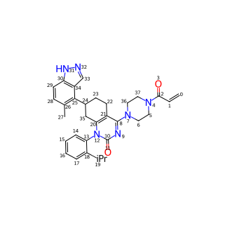 C=CC(=O)N1CCN(c2nc(=O)n(-c3ccccc3C(C)C)c3c2CCC(c2c(C)ccc4[nH]ncc24)C3)CC1